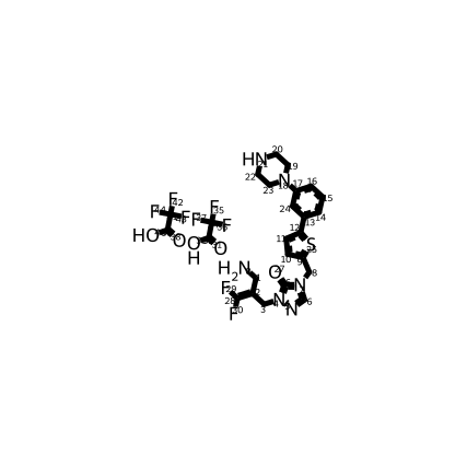 NCC(Cn1ncn(Cc2ccc(-c3cccc(N4CCNCC4)c3)s2)c1=O)=C(F)F.O=C(O)C(F)(F)F.O=C(O)C(F)(F)F